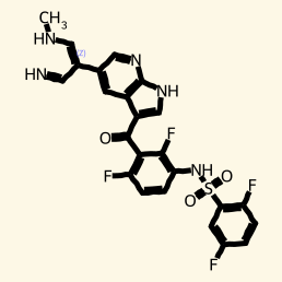 CN/C=C(\C=N)c1cnc2[nH]cc(C(=O)c3c(F)ccc(NS(=O)(=O)c4cc(F)ccc4F)c3F)c2c1